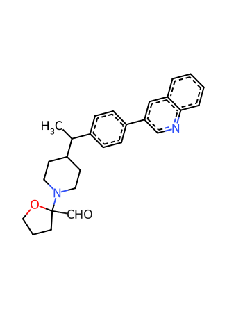 CC(c1ccc(-c2cnc3ccccc3c2)cc1)C1CCN(C2(C=O)CCCO2)CC1